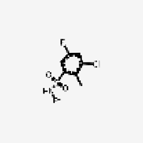 CCNS(=O)(=O)c1cc(F)cc(Cl)c1C